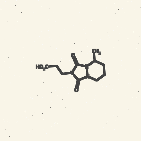 CC1CCCn2c(=O)n(CCC(=O)O)c(=O)n21